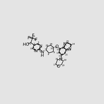 OC(c1cnc(N[C@H]2CC[C@@H](Oc3cc(N4CCOCC4)cc4nccnc34)CC2)nc1)C(F)(F)F